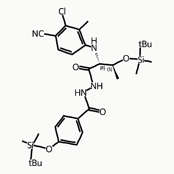 Cc1c(N[C@@H](C(=O)NNC(=O)c2ccc(O[Si](C)(C)C(C)(C)C)cc2)[C@H](C)O[Si](C)(C)C(C)(C)C)ccc(C#N)c1Cl